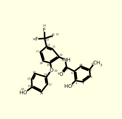 Cc1ccc(O)c(C(=O)Nc2cc(C(F)(F)F)ccc2Oc2ccc(O)cc2)c1